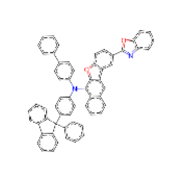 c1ccc(-c2ccc(N(c3ccc(C4(c5ccccc5)c5ccccc5-c5ccccc54)cc3)c3c4ccccc4cc4c3oc3ccc(-c5nc6ccccc6o5)cc34)cc2)cc1